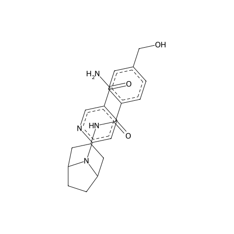 NC(=O)c1ccc(N2C3CCC2CC(NC(=O)c2ccc(CO)cc2)C3)nc1